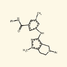 CC(=O)N1CCc2c(c(Nc3cc(C)cc(C(=O)NC(C)C)c3)nn2C)C1